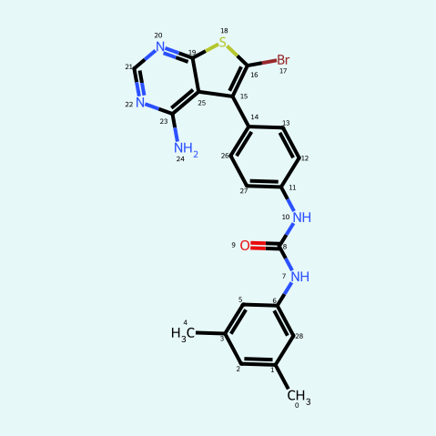 Cc1cc(C)cc(NC(=O)Nc2ccc(-c3c(Br)sc4ncnc(N)c34)cc2)c1